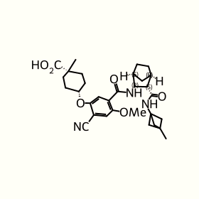 COc1cc(C#N)c(O[C@H]2CC[C@@](C)(C(=O)O)CC2)cc1C(=O)N[C@@H]1[C@H]2CC[C@H](C2)[C@@H]1C(=O)NC12CC(C)(C1)C2